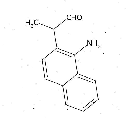 CC(C=O)c1ccc2ccccc2c1N